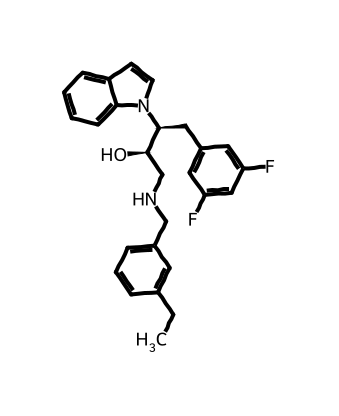 CCc1cccc(CNC[C@@H](O)[C@H](Cc2cc(F)cc(F)c2)n2ccc3ccccc32)c1